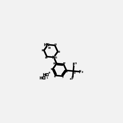 Cl.Cl.FC(F)(F)c1cccc(N2CCNCC2)c1